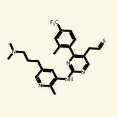 Cc1cc(C(F)(F)F)ccc1-c1nc(Nc2cc(CCCN(C)C)cnc2C)ncc1CC=S